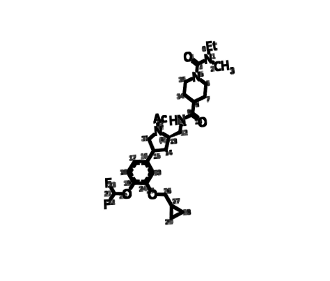 CCN(C)C(=O)N1CCC(C(=O)NC[C@H]2CC(c3ccc(OC(F)F)c(OCC4CC4)c3)CN2C(C)=O)CC1